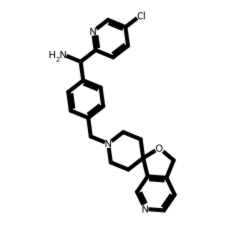 NC(c1ccc(CN2CCC3(CC2)OCc2ccncc23)cc1)c1ccc(Cl)cn1